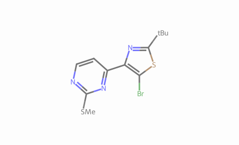 CSc1nccc(-c2nc(C(C)(C)C)sc2Br)n1